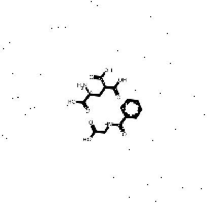 N[C@@H](CC(C(=O)O)C(=O)O)C(=O)O.O=C(O)CNC(=O)c1ccccc1